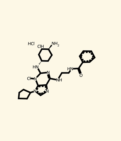 Cl.Cl.N[C@H]1CC[C@H](NC2N=C(NCCNC(=O)c3ccccc3)c3ncn(C4CCCC4)c3N2Cl)CC1